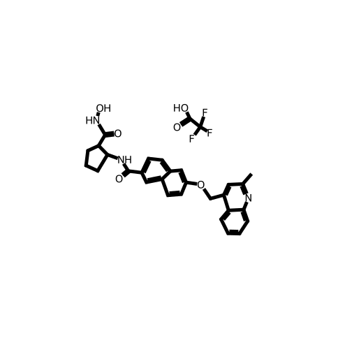 Cc1cc(COc2ccc3cc(C(=O)NC4CCCC4C(=O)NO)ccc3c2)c2ccccc2n1.O=C(O)C(F)(F)F